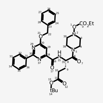 CCOC(=O)ON1CCN(C(=O)[C@H](CCC(=O)OC(C)(C)C)NC(=O)c2cc(OCc3ccccc3)nc(-c3ccccc3)n2)CC1